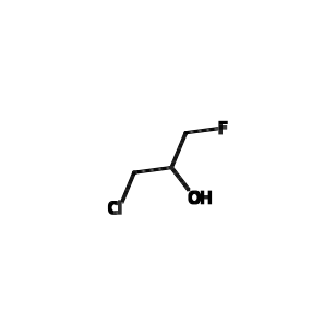 OC(CF)CCl